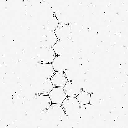 CCN(CC)CCCNC(=O)c1nnc2c(n1)c(=O)n(C)c(=O)n2C1CCCC1